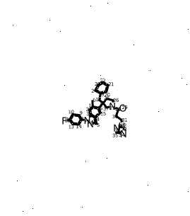 Cc1cc2c(cnn2-c2ccc(F)cc2)cc1C1(Cc2ccccc2)CCN(C(=O)CCn2cncn2)C1